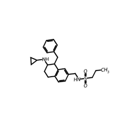 CCCS(=O)(=O)NCc1ccc2c(c1)C(Cc1ccccc1)C(NC1CC1)CC2